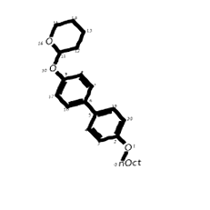 CCCCCCCCOc1ccc(-c2ccc(OC3CCCCO3)cc2)cc1